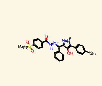 CNS(=O)(=O)c1ccc(C(=O)N/N=C(\c2ccccc2)c2nn(C)c(-c3ccc(C(C)(C)C)cc3)c2O)cc1